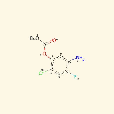 CC(C)COC(=O)Oc1cc(N)c(F)cc1Cl